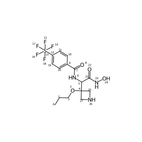 CCCOC1(C(NC(=O)c2ccc(S(F)(F)(F)(F)F)cc2)C(=O)NO)CNC1